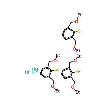 CCOCc1cccc(COCC)c1[S].CCOCc1cccc(COCC)c1[S].CCOCc1cccc(COCC)c1[S].F.F.F